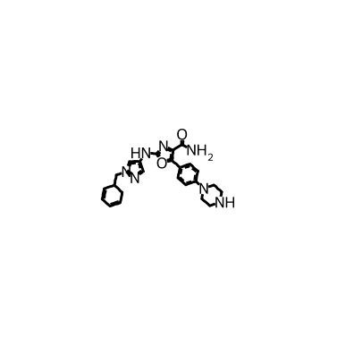 NC(=O)c1nc(Nc2cnn(CC3C=CC=CC3)c2)oc1-c1ccc(N2CCNCC2)cc1